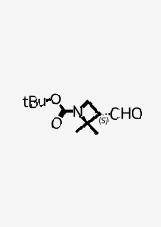 CC(C)(C)OC(=O)N1C[C@H](C=O)C1(C)C